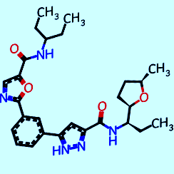 CCC(CC)NC(=O)c1cnc(-c2cccc(-c3cc(C(=O)N[C@H](CC)[C@H]4CC[C@@H](C)O4)n[nH]3)c2)o1